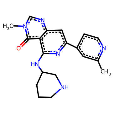 Cc1cc(-c2cc3ncn(C)c(=O)c3c(NC3CCCNC3)n2)ccn1